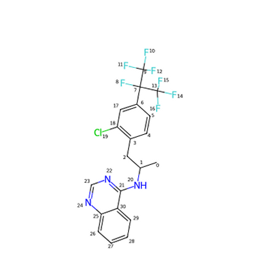 CC(Cc1ccc(C(F)(C(F)(F)F)C(F)(F)F)cc1Cl)Nc1ncnc2ccccc12